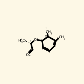 CC1=CC=CC(O[C@@H](C)C=O)C1C